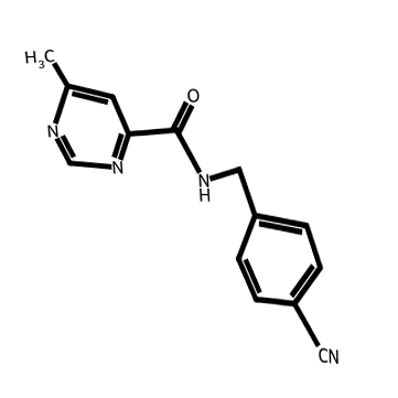 Cc1cc(C(=O)NCc2ccc(C#N)cc2)ncn1